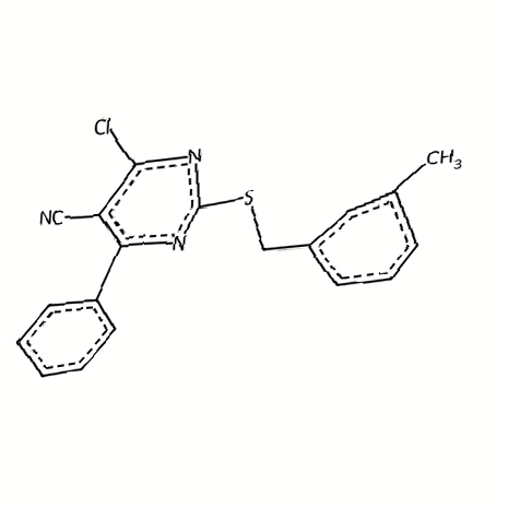 Cc1cccc(CSc2nc(Cl)c(C#N)c(-c3ccccc3)n2)c1